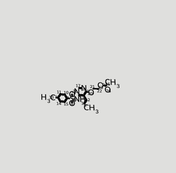 C/C=C/c1c(NS(=O)(=O)c2ccc(C)cc2)ncnc1OCCOC(C)=O